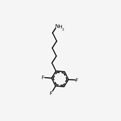 NCCCCCc1cc(F)cc(F)c1F